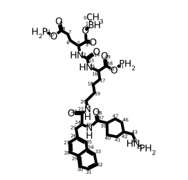 CBOC(=O)C(CCC(=O)OP)NC(=O)NC(CCCCNC(=O)C(Cc1ccc2ccccc2c1)NC(=O)C1CCC(CNP)CC1)C(=O)OP